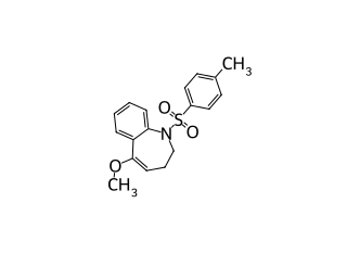 COC1=CCCN(S(=O)(=O)c2ccc(C)cc2)c2ccccc21